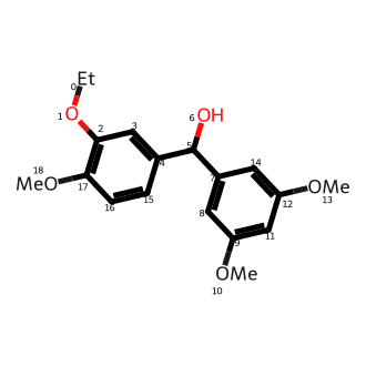 CCOc1cc(C(O)c2cc(OC)cc(OC)c2)ccc1OC